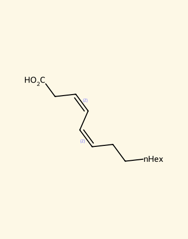 CCCCCCCC/C=C\C=C/CC(=O)O